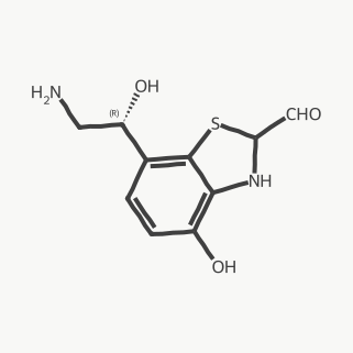 NC[C@H](O)c1ccc(O)c2c1SC(C=O)N2